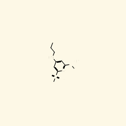 CCCNc1cc(OC)nc(S(C)(=O)=O)c1.Cl